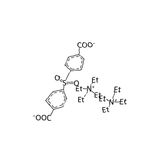 CC[N+](CC)(CC)CC.CC[N+](CC)(CC)CC.O=C([O-])c1ccc(S(=O)(=O)c2ccc(C(=O)[O-])cc2)cc1